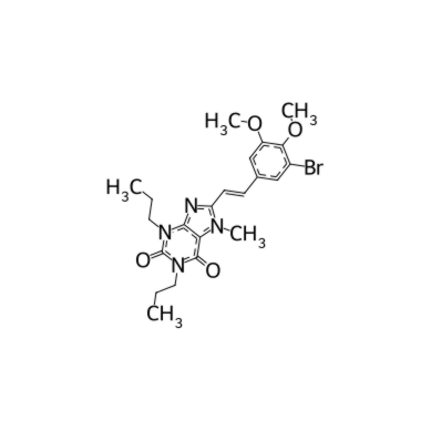 CCCn1c(=O)c2c(nc(C=Cc3cc(Br)c(OC)c(OC)c3)n2C)n(CCC)c1=O